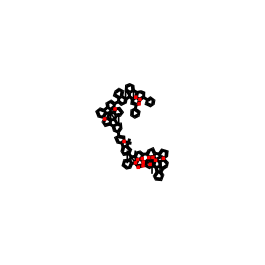 CC1(C)c2cc(-c3ccc4c(c3)c3cccc5c3n4-c3ccccc3C53c4ccccc4-c4ccc(-c5ccc(N(c6cccc(-c7ccccc7)c6)c6ccccc6-c6ccc(-c7ccccc7)cc6)c6ccccc56)cc43)ccc2-c2ccc(N(c3ccccc3-c3ccc(-c4ccccc4)cc3)c3ccc(-c4ccc5c(c4)C4(c6ccccc6-5)c5ccccc5-n5c6ccccc6c6cccc4c65)c4ccccc34)cc21